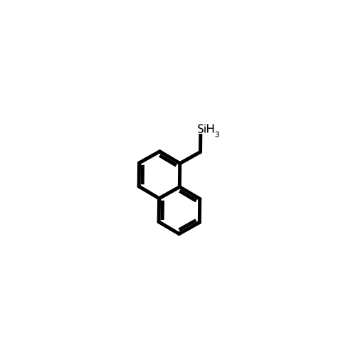 [SiH3]Cc1cccc2ccccc12